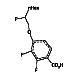 CCCCCCC(F)COc1ccc(C(=O)O)c(F)c1F